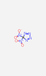 O=[N+]([O-])C1([N+](=O)[O-])N=NN=N1